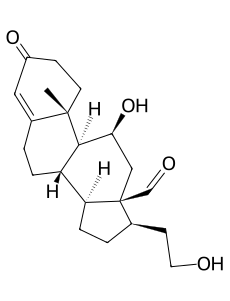 C[C@]12CCC(=O)C=C1CC[C@@H]1[C@@H]2[C@@H](O)C[C@]2(C=O)[C@@H](CCO)CC[C@@H]12